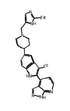 CCc1ncc(CN2CCC(c3ccc4[nH]c(-c5ccnc6[nH]ncc56)c(CC)c4c3)CC2)[nH]1